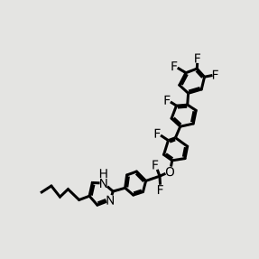 CCCCCC1=CNC(c2ccc(C(F)(F)Oc3ccc(-c4ccc(-c5cc(F)c(F)c(F)c5)c(F)c4)c(F)c3)cc2)N=C1